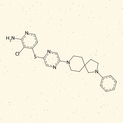 Nc1nccc(Sc2cnc(N3CCC4(CCN(c5ccccc5)C4)CC3)cn2)c1Cl